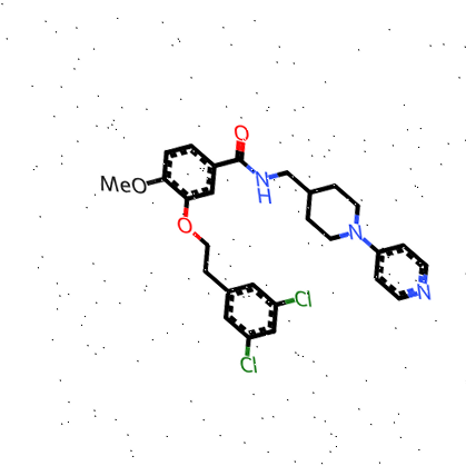 COc1ccc(C(=O)NCC2CCN(c3ccncc3)CC2)cc1OCCc1cc(Cl)cc(Cl)c1